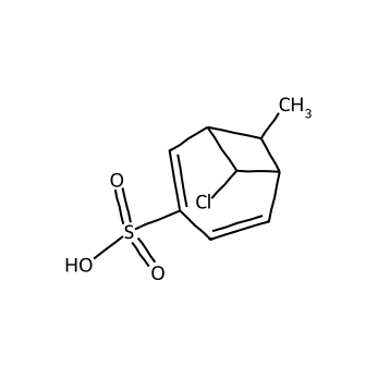 CC1C2C=CC(S(=O)(=O)O)=CC1C2Cl